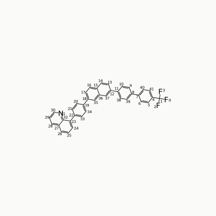 FC(F)(F)c1ccc(-c2ccc(-c3ccc4ccc(-c5ccc(-c6cccc7cccnc67)cc5)cc4c3)cc2)cc1